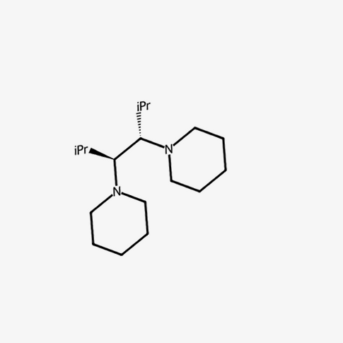 CC(C)[C@@H]([C@H](C(C)C)N1CCCCC1)N1CCCCC1